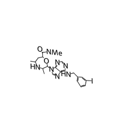 CNC(=O)C1CC(C)NC(C)[C@H](n2cnc3c(NCc4cccc(I)c4)ncnc32)O1